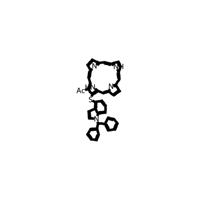 CC(=O)c1c(Sc2cccc3c2ccn3C(c2ccccc2)c2ccccc2)c2cc3nc(cc4ccc(cc5nc(cc1[nH]2)C=C5)[nH]4)C=C3